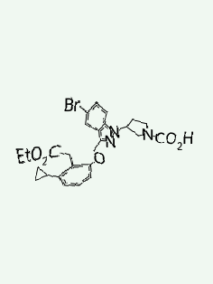 CCOC(=O)Cc1c(OCc2nn(C3CCN(C(=O)O)C3)c3ccc(Br)cc23)cccc1C1CC1